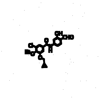 CCOc1c(Cl)cc(C(=O)Nc2ccc(C=O)c(O)c2)cc1OCC1CC1